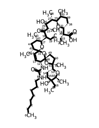 CCCCCCCCNC(=O)N[C@@H]1C=C[C@]2(O[C@H](C(CC)C(=O)[C@@H](C)[C@@H](O)[C@H](C)[C@@H]3O[C@@H]([C@@H](CC)C(=O)O)CC[C@@H]3C)[C@@H](C)C[C@H]2C)O[C@@]12CC[C@@](C)([C@H]1CC[C@](O)(CC)[C@H](C)O1)O2